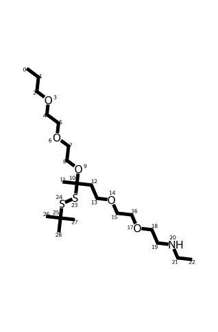 CCCOCCOCCOC(C)(CCOCCOCCNCC)SSC(C)(C)C